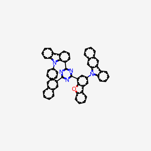 c1ccc(-n2c3ccccc3c3cccc(-c4nc(-c5ccc6ccccc6c5)nc(-c5cc(-n6c7ccccc7c7cc8ccccc8cc76)cc6c5oc5ccccc56)n4)c32)cc1